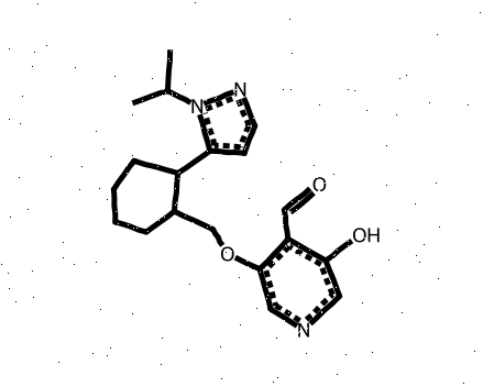 CC(C)n1nccc1C1CCCCC1COc1cncc(O)c1C=O